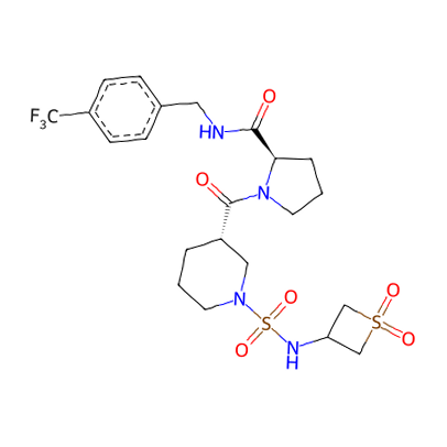 O=C(NCc1ccc(C(F)(F)F)cc1)[C@H]1CCCN1C(=O)[C@H]1CCCN(S(=O)(=O)NC2CS(=O)(=O)C2)C1